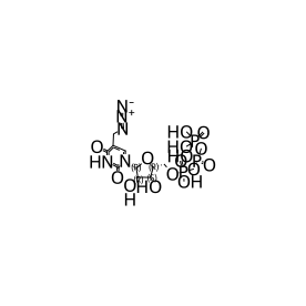 [N-]=[N+]=NCc1cn([C@@H]2O[C@H](COP(=O)(O)OP(=O)(O)OP(=O)(O)O)[C@@H](O)[C@H]2O)c(=O)[nH]c1=O